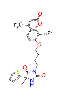 CCCc1c(OCCCCN2C(=O)NC(C)(c3cccs3)C2=O)ccc2c(C(F)(F)F)cc(=O)oc12